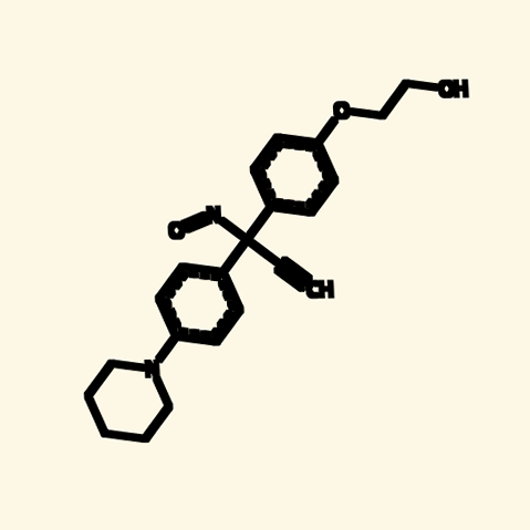 C#CC(N=O)(c1ccc(OCCO)cc1)c1ccc(N2CCCCC2)cc1